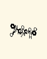 COCCCn1c(C2CCCN(C(=O)[C@@H]3CN(C(=O)Nc4cccc(OC)c4)C[C@H]3N)C2)nc2ccccc21